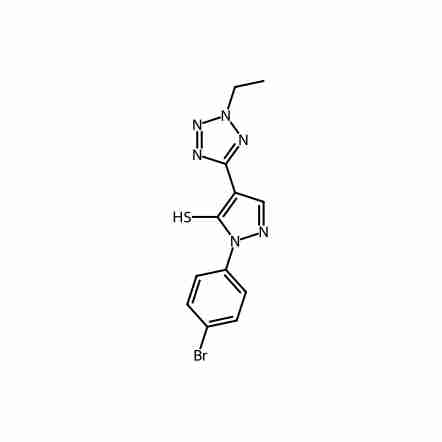 CCn1nnc(-c2cnn(-c3ccc(Br)cc3)c2S)n1